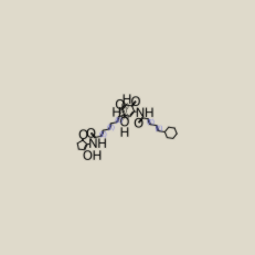 O=C(/C=C/C=C/C1CCCCC1)NC1=C[C@](O)(/C=C/C=C/C=C/C(=O)NC2=C(O)CCC2=O)[C@H]2O[C@H]2C1=O